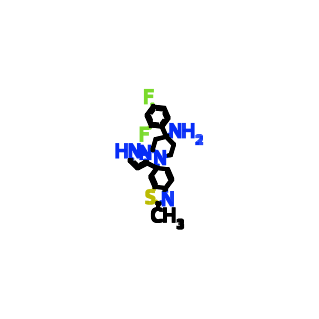 CC1N=C2C=CC(c3cc[nH]n3)(N3CCC(N)(c4ccc(F)cc4F)CC3)C=C2S1